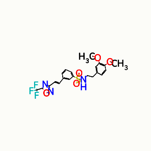 COc1ccc(CCNS(=O)(=O)c2cccc(C=Cc3noc(C(F)(F)F)n3)c2)cc1OC